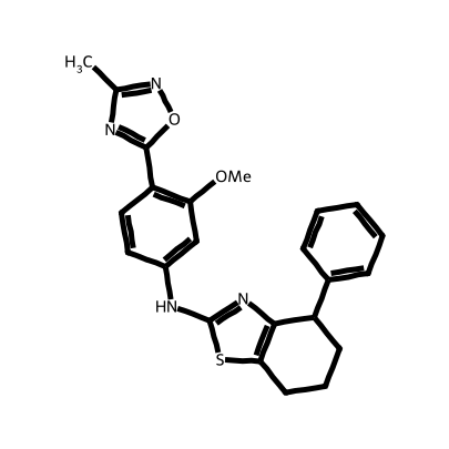 COc1cc(Nc2nc3c(s2)CCCC3c2ccccc2)ccc1-c1nc(C)no1